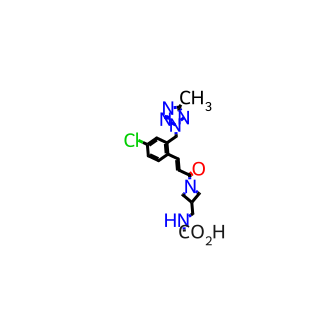 Cc1nnn(Cc2cc(Cl)ccc2/C=C/C(=O)N2CC(CNC(=O)O)C2)n1